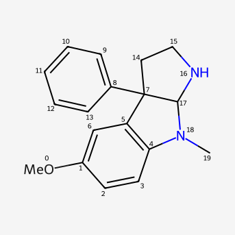 COc1ccc2c(c1)C1(c3ccccc3)CCNC1N2C